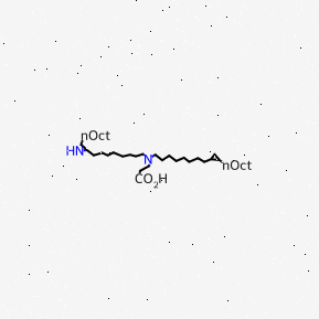 CCCCCCCCC1CC1CCCCCCCCN(CCCCCCCCC1NC1CCCCCCCC)CCC(=O)O